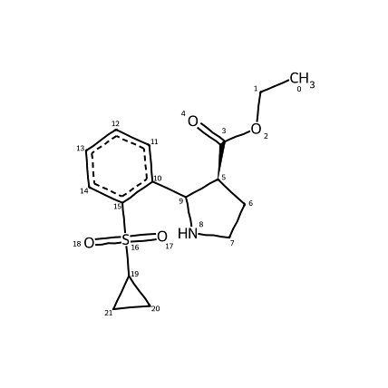 CCOC(=O)[C@H]1CCNC1c1ccccc1S(=O)(=O)C1CC1